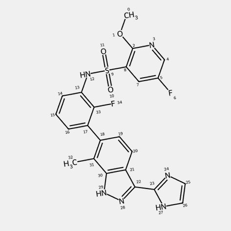 COc1ncc(F)cc1S(=O)(=O)Nc1cccc(-c2ccc3c(-c4ncc[nH]4)n[nH]c3c2C)c1F